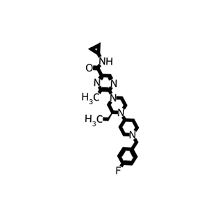 CC[C@H]1CN(c2ncc(C(=O)NC3CC3)nc2C)CCN1C1CCN(Cc2ccc(F)cc2)CC1